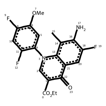 CCOC(=O)c1cn(-c2cc(OC)c(F)cc2F)c2c(C)c(N)c(F)cc2c1=O